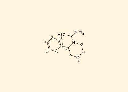 CC(C)N1CCOC[C@@H]1c1ccccc1